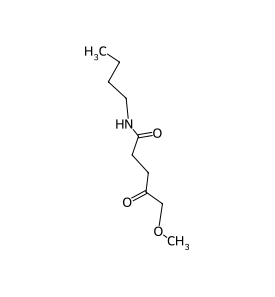 CCCCNC(=O)CCC(=O)COC